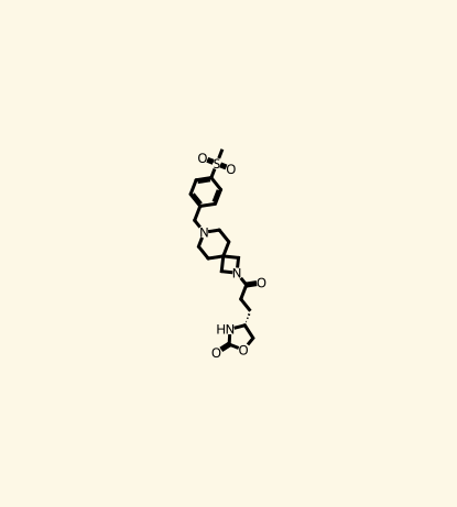 CS(=O)(=O)c1ccc(CN2CCC3(CC2)CN(C(=O)CC[C@@H]2COC(=O)N2)C3)cc1